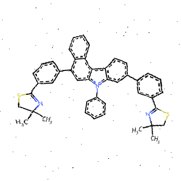 CC1(C)CSC(c2cccc(-c3ccc4c5c6ccccc6c(-c6cccc(C7=NC(C)(C)CS7)c6)cc5n(-c5ccccc5)c4c3)c2)=N1